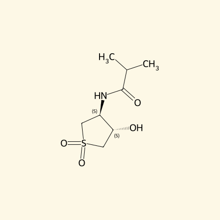 CC(C)C(=O)N[C@@H]1CS(=O)(=O)C[C@H]1O